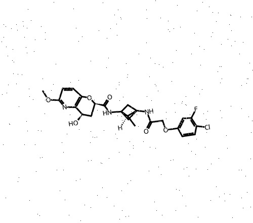 COc1ccc2c(n1)[C@H](O)C[C@H](C(=O)NC13CC(NC(=O)COc4ccc(Cl)c(F)c4)(C1)[C@H]3C)O2